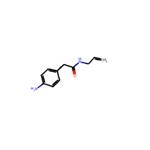 C=CCNC(=O)Cc1ccc(N)cc1